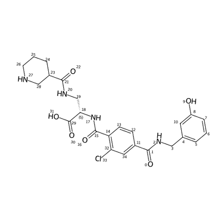 O=C(NCc1cccc(O)c1)c1ccc(C(=O)N[C@@H](CNC(=O)C2CCCNC2)C(=O)O)c(Cl)c1